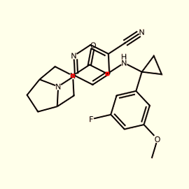 COc1cc(F)cc(C2(NCC(=O)N3CC4CCC(C3)N4c3ccc(C#N)cn3)CC2)c1